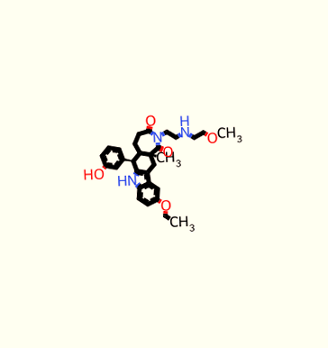 CCOc1ccc2[nH]c3c(c2c1)C[C@@]1(C)C(=O)N(CCNCCOC)C(=O)CCC1[C@@H]3c1cccc(O)c1